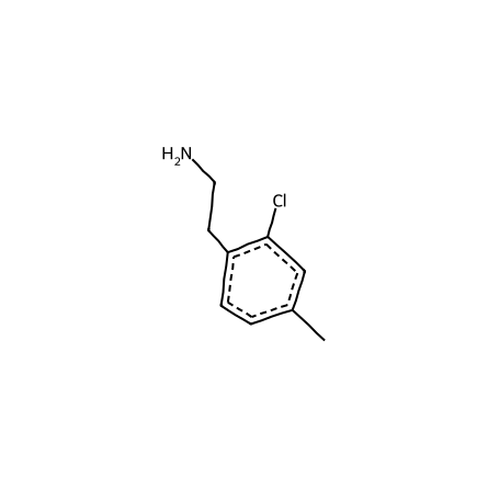 Cc1ccc(CCN)c(Cl)c1